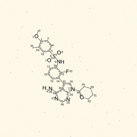 COc1ccc(S(=O)(=O)Nc2cccc(-c3cn(C4CCCCO4)c4ncnc(N)c34)c2F)cc1C